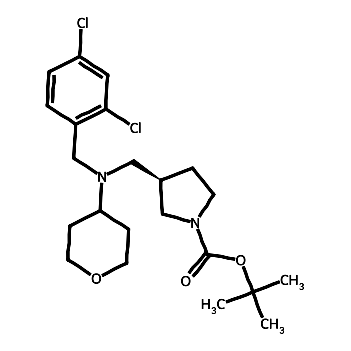 CC(C)(C)OC(=O)N1CC[C@H](CN(Cc2ccc(Cl)cc2Cl)C2CCOCC2)C1